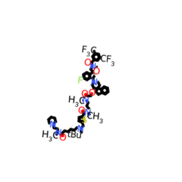 CN(CCN1CCCCC1)C(=O)CCCCCN(Cc1ccc(C(=O)N(C)CCCN(C)C(=O)CO[C@H]2Cc3ccccc3C23CCN(CC[C@]2(c4ccc(F)cc4)CN(C(=O)c4cc(C(F)(F)F)cc(C(F)(F)F)c4)CO2)CC3)s1)CC(C)(C)C